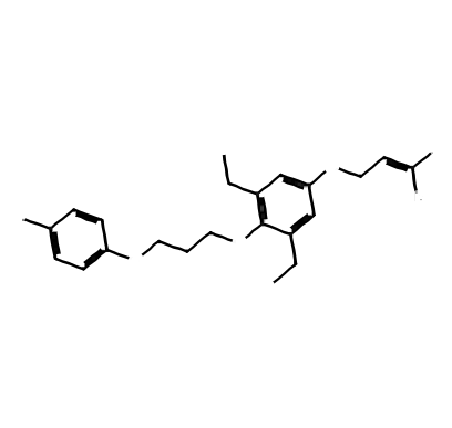 CCc1cc(OC/C=C(/F)Br)cc(CC)c1OCCCOc1ccc(Cl)cc1